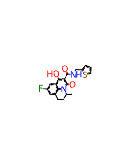 CC1CCc2cc(F)cc3c(O)c(C(=O)NCc4cccs4)c(=O)n1c23